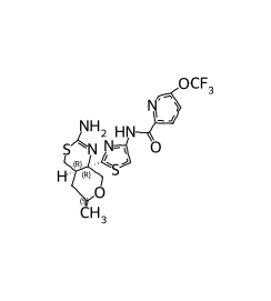 C[C@H]1C[C@H]2CSC(N)=N[C@@]2(c2nc(NC(=O)c3ccc(OC(F)(F)F)cn3)cs2)CO1